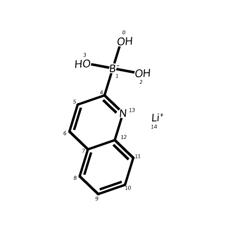 O[B-](O)(O)c1ccc2ccccc2n1.[Li+]